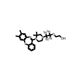 [2H]C([2H])(OCCO)C([2H])([2H])N1CCN(C2=Nc3cc(C)c(C)cc3Sc3ccccc32)C(C)(C)C1